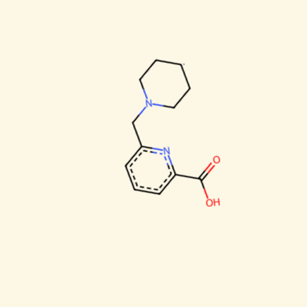 O=C(O)c1cccc(CN2CC[CH]CC2)n1